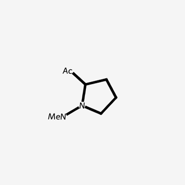 CNN1CCCC1C(C)=O